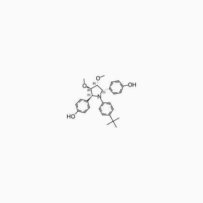 CO[C@H]1[C@H](OC)[C@H](c2ccc(O)cc2)N(c2ccc(C(C)(C)C)cc2)[C@H]1c1ccc(O)cc1